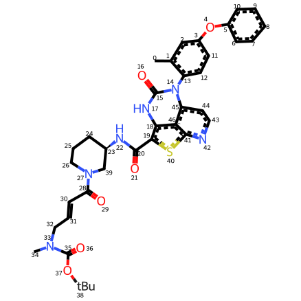 Cc1cc(Oc2ccccc2)ccc1N1C(=O)Nc2c(C(=O)N[C@@H]3CCCN(C(=O)/C=C/CN(C)C(=O)OC(C)(C)C)C3)sc3nccc1c23